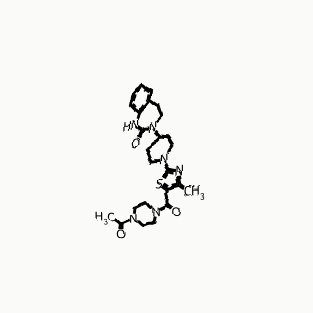 CC(=O)N1CCN(C(=O)c2sc(N3CCC(N4CCc5ccccc5NC4=O)CC3)nc2C)CC1